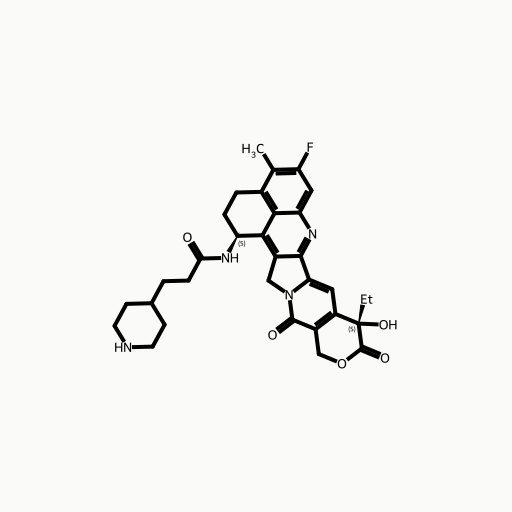 CC[C@@]1(O)C(=O)OCc2c1cc1n(c2=O)Cc2c-1nc1cc(F)c(C)c3c1c2[C@@H](NC(=O)CCC1CCNCC1)CC3